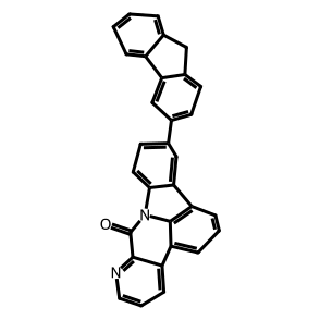 O=c1c2ncccc2c2cccc3c4cc(-c5ccc6c(c5)-c5ccccc5C6)ccc4n1c23